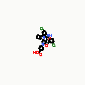 O=C(O)c1ccc(N2C[C@@H]3[C@H](C2=O)[C@@H](c2cccc(Cl)c2)[C@@]2(C(=O)Nc4cc(Cl)ccc42)N3CC2CCCC2)cc1